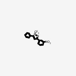 O=[N+]([O-])c1cccc(-c2cc(-c3ccccc3)n(C(F)(F)F)n2)c1